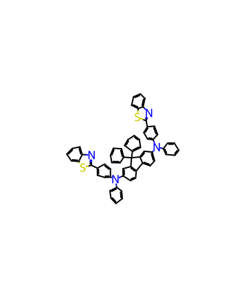 c1ccc(N(c2ccc(-c3nc4ccccc4s3)cc2)c2ccc3c(c2)C(c2ccccc2)(c2ccccc2)c2cc(N(c4ccccc4)c4ccc(-c5nc6ccccc6s5)cc4)ccc2-3)cc1